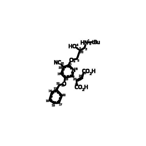 CC(C)(C)NC[C@H](O)COc1ncc(OCc2ccccc2)cc1C#N.O=C(O)C=CC(=O)O